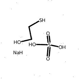 O=S(=O)(O)O.OCCS.[NaH]